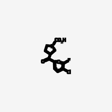 O=C(c1ccc(Cl)c(F)c1)C1CCN(C(=O)O)C1